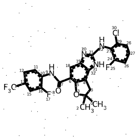 CC1(C)Cc2c(c(C(=O)Nc3ccc(C(F)(F)F)cc3F)cc3nc(Nc4c(F)cccc4Cl)[nH]c23)O1